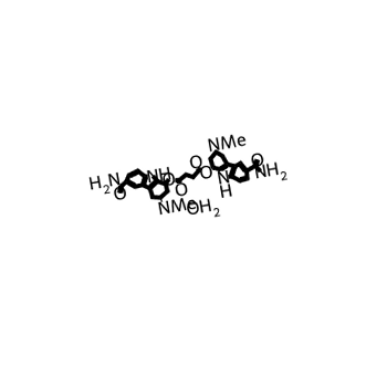 CN[C@@H]1Cc2c([nH]c3ccc(C(N)=O)cc23)C(OC(=O)CCC(=O)OC2C[C@H](NC)Cc3c2[nH]c2ccc(C(N)=O)cc32)C1.O